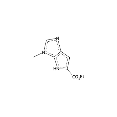 CCOC(=O)c1cc2ncn(C)c2[nH]1